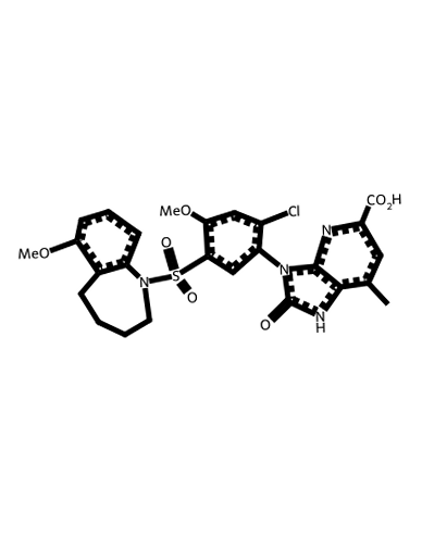 COc1cc(Cl)c(-n2c(=O)[nH]c3c(C)cc(C(=O)O)nc32)cc1S(=O)(=O)N1CCCCc2c(OC)cccc21